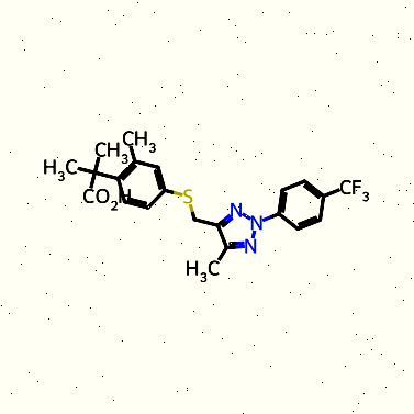 Cc1cc(SCc2nn(-c3ccc(C(F)(F)F)cc3)nc2C)ccc1C(C)(C)C(=O)O